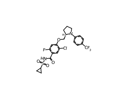 O=C(NS(=O)(=O)C1CC1)c1cc(Cl)c(OC[C@H]2CCCN2c2ccc(C(F)(F)F)cc2)cc1F